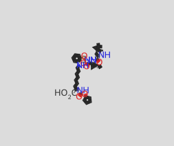 C=C[C@@H]1C[C@]1(NC(=O)[C@@H]1C[C@@]2(CN1)CC2(C)C)C(=O)NS(=O)(=O)c1ccccc1NCCCCCCC[C@H](NC(=O)OC1CCCC1)C(=O)O